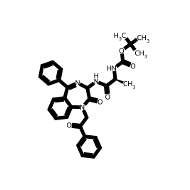 C[C@H](NC(=O)OC(C)(C)C)C(=O)NC1N=C(c2ccccc2)c2ccccc2N(CC(=O)c2ccccc2)C1=O